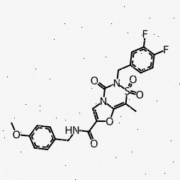 COc1ccc(CNC(=O)C2=CN3C(=O)N(Cc4ccc(F)c(F)c4)S(=O)(=O)C(C)=C3O2)cc1